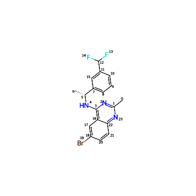 Cc1nc(N[C@H](C)c2cccc(C(F)F)c2)c2cc(Br)ccc2n1